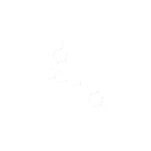 Cc1ccc(S(=O)(=O)NCCCN(C)S(=O)(=O)c2ccc(C)cc2)cc1